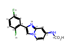 O=C(O)Nc1ccn2cc(-c3cc(F)ccc3F)nc2c1